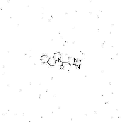 O=C(c1ccn2ccnc2c1)N1CCCC2c3ccccc3CCC21